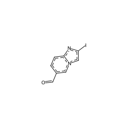 O=Cc1ccc2nc(I)cn2c1